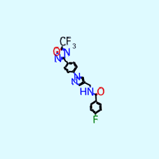 O=C(NCc1cnn(-c2ccc(-c3noc(C(F)(F)F)n3)cc2)c1)c1ccc(F)cc1